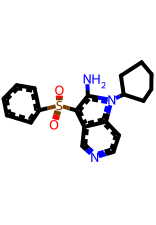 Nc1c(S(=O)(=O)c2ccccc2)c2cnccc2n1C1CCCCC1